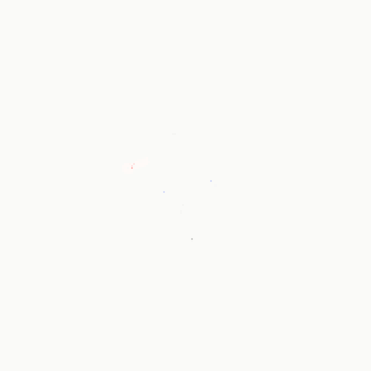 COC(=O)C1CN2CCN1C(C)=C2C